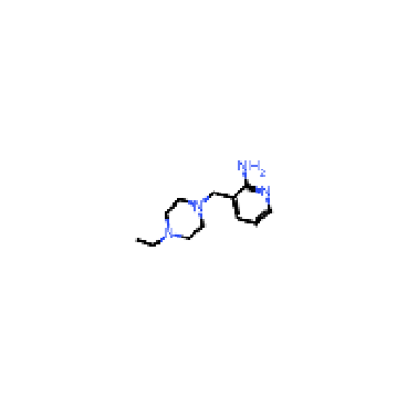 CCN1CCN(Cc2cccnc2N)CC1